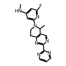 CNc1cc(F)nc(N2CCc3nc(-c4ncccn4)ncc3C2C)c1